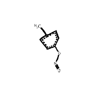 Cc1ccc(ON=O)cc1